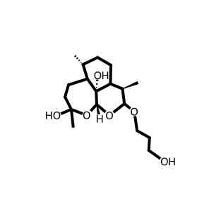 C[C@H]1C(OCCCO)O[C@@H]2OC(C)(O)CCC3[C@H](C)CCC1[C@]32O